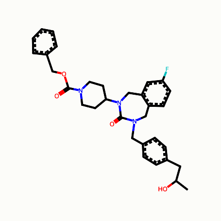 CC(O)Cc1ccc(CN2Cc3ccc(F)cc3CN(C3CCN(C(=O)OCc4ccccc4)CC3)C2=O)cc1